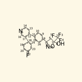 OC1(C(F)(F)F)CC(c2ccc(-c3ccncc3-c3ccc(F)cc3)cc2)=NO1